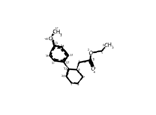 CCOC(=O)C[C@H]1CCCC[C@H]1c1ccc(OC)cc1